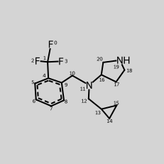 FC(F)(F)c1ccccc1CN(CC1CC1)C1CCNC1